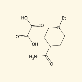 CCN1CCN(C(N)=O)CC1.O=C(O)C(=O)O